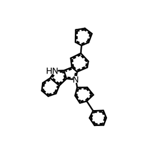 c1ccc(-c2ccc(-n3c4ccc(-c5ccccc5)cc4c4[nH]c5ccccc5c43)cc2)cc1